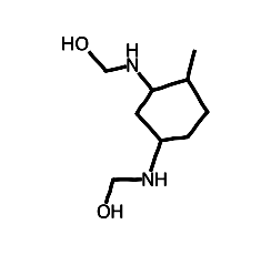 CC1CCC(NCO)CC1NCO